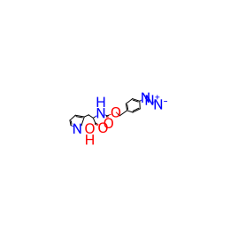 [N-]=[N+]=Nc1ccc(COC(=O)NC(Cc2cccnc2)C(=O)O)cc1